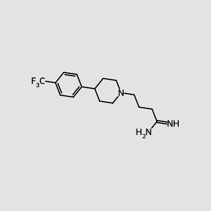 N=C(N)CCCN1CCC(c2ccc(C(F)(F)F)cc2)CC1